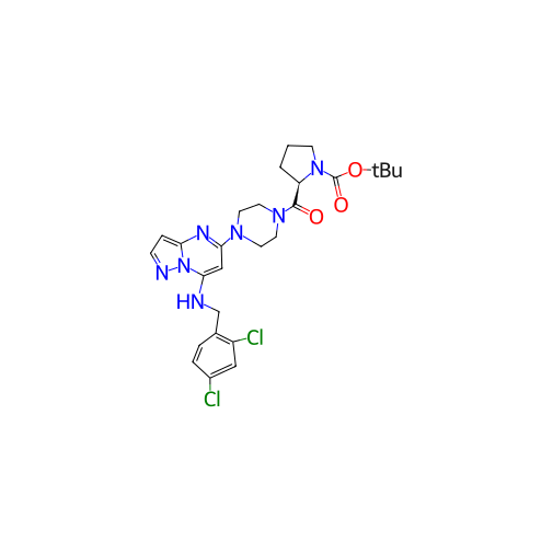 CC(C)(C)OC(=O)N1CCC[C@@H]1C(=O)N1CCN(c2cc(NCc3ccc(Cl)cc3Cl)n3nccc3n2)CC1